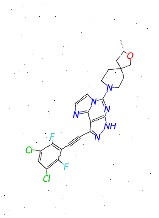 C[C@H]1CC2(CCN(c3nc4[nH]nc(C#Cc5c(F)c(Cl)cc(Cl)c5F)c4c4nccn34)CC2)CO1